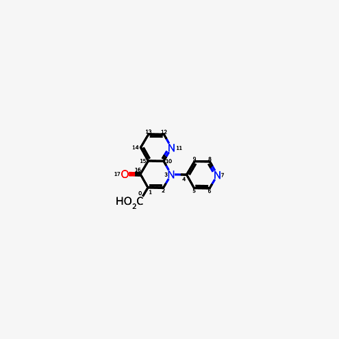 O=C(O)c1cn(-c2ccncc2)c2ncccc2c1=O